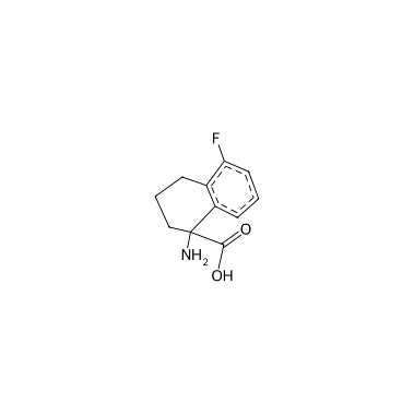 NC1(C(=O)O)CCCc2c(F)cccc21